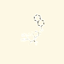 CC(CS)C(=O)N1C[C@@H](Oc2ccc3ccccc3c2)C[C@H]1C(=O)O